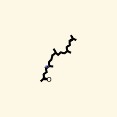 CC(=O)CC/C=C(\C)CCCC(C)CCCC(C)CCC=C(C)C